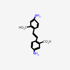 Nc1ccc(/C=C/c2ccc(N)cc2C(=O)O)c(C(=O)O)c1